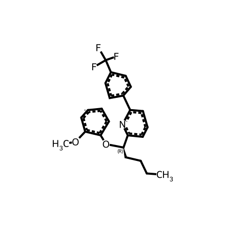 CCCC[C@@H](Oc1cc[c]cc1OC)c1cccc(-c2ccc(C(F)(F)F)cc2)n1